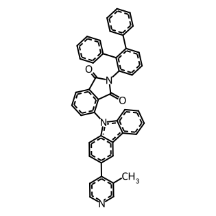 Cc1cnccc1-c1ccc2c(c1)c1ccccc1n2-c1cccc2c1C(=O)N(c1cccc(-c3ccccc3)c1-c1ccccc1)C2=O